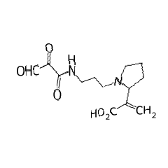 C=C(C(=O)O)C1CCCN1CCCNC(=O)C(=O)C=O